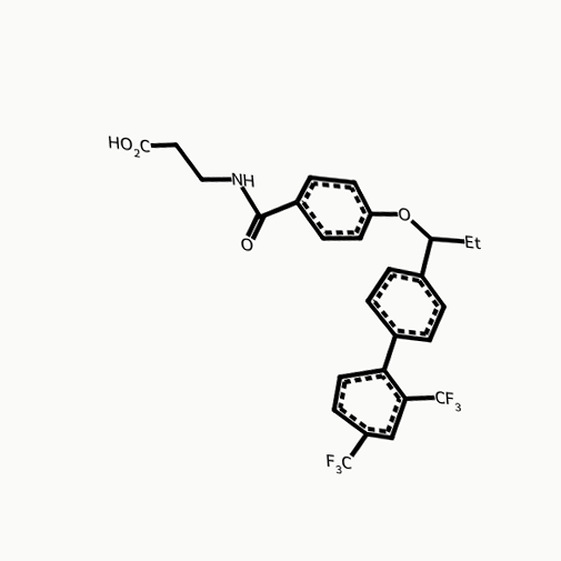 CCC(Oc1ccc(C(=O)NCCC(=O)O)cc1)c1ccc(-c2ccc(C(F)(F)F)cc2C(F)(F)F)cc1